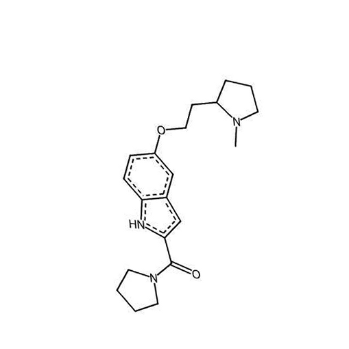 CN1CCCC1CCOc1ccc2[nH]c(C(=O)N3CCCC3)cc2c1